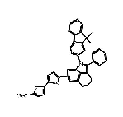 COc1ccc(-c2ccc(-c3cc4c5c(c(-c6ccccc6)n(-c6ccc7c(c6)C(C)(C)c6ccccc6-7)c5c3)CCC4)s2)s1